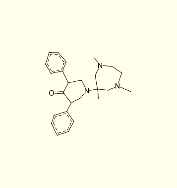 CN1CCN(C)CC(C)(N2CC(c3ccccc3)C(=O)C(c3ccccc3)C2)C1